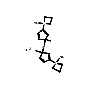 CCCC[Si]1(C2=C[C](C)([Zr+2][C]3(C)C=CC([Si]4(CCCC)CCC4)=C3)C=C2)CCC1.[Cl-].[Cl-]